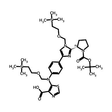 CC(C)(C)OC(=O)N1CCC[C@H]1c1nc(-c2ccc(N(COCC[Si](C)(C)C)c3scnc3C(=O)O)cc2)cn1COCC[Si](C)(C)C